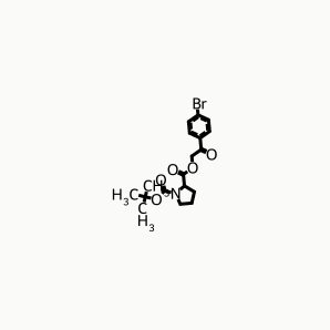 CC(C)(C)OC(=O)N1CCCC1C(=O)OCC(=O)c1ccc(Br)cc1